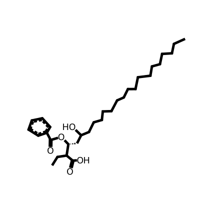 CCCCCCCCCCCCCCCCCC(O)C[C@@H](OC(=O)c1ccccc1)C(CC)C(=O)O